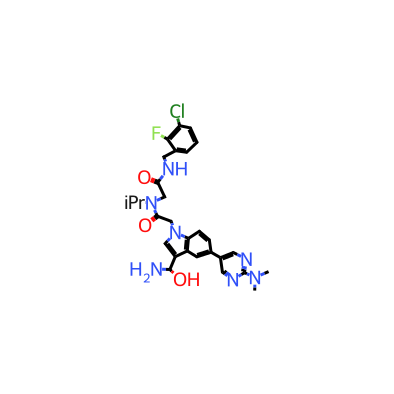 CC(C)N(CC(=O)NCc1cccc(Cl)c1F)C(=O)Cn1cc(C(N)O)c2cc(-c3cnc(N(C)C)nc3)ccc21